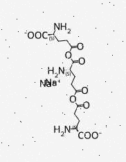 N[C@@H](CCC(=O)OC(=O)CC[C@H](N)C(=O)OC(=O)CC[C@H](N)C(=O)[O-])C(=O)[O-].[Na+].[Na+]